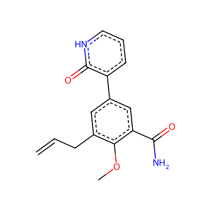 C=CCc1cc(-c2ccc[nH]c2=O)cc(C(N)=O)c1OC